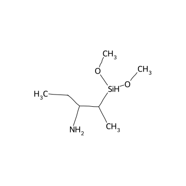 CCC(N)C(C)[SiH](OC)OC